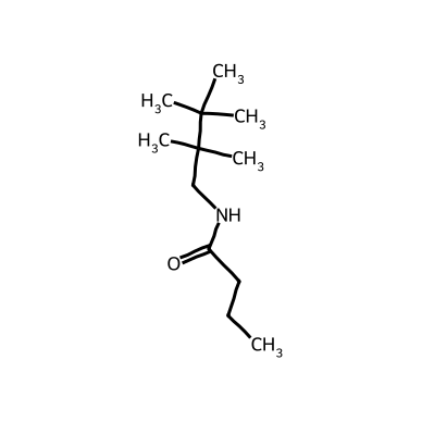 CCCC(=O)NCC(C)(C)C(C)(C)C